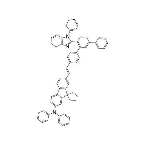 CCC1(CC)c2cc(/C=C/c3ccc(-c4cc(-c5ccccc5)ccc4-c4nc5c(n4C4=CC=CCC4)C=CCC5)cc3)ccc2-c2ccc(N(c3ccccc3)c3ccccc3)cc21